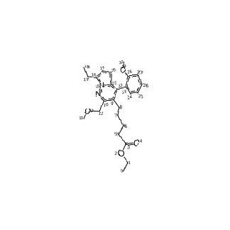 CCOC(=O)CCCCc1c(COC)nn2c(CC)ccc2c1-c1ccccc1OC